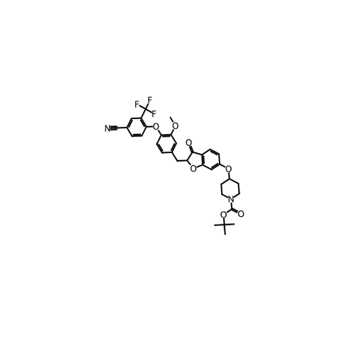 COc1cc(CC2Oc3cc(OC4CCN(C(=O)OC(C)(C)C)CC4)ccc3C2=O)ccc1Oc1ccc(C#N)cc1C(F)(F)F